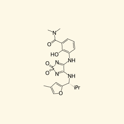 Cc1coc([C@H](NC2=NS(=O)(=O)N=C2Nc2cccc(C(=O)N(C)C)c2O)C(C)C)c1